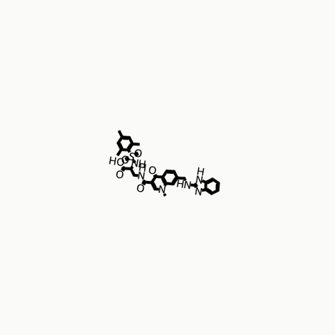 Cc1cc(C)c(S(=O)(=O)NC(CNC(=O)c2cn(C)c3cc(CNc4nc5ccccc5[nH]4)ccc3c2=O)C(=O)O)c(C)c1